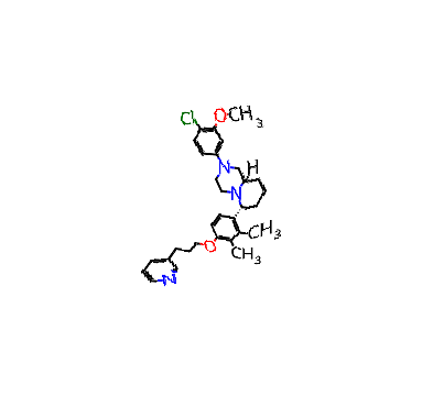 COc1cc(N2CCN3[C@@H](CCC[C@@H]3c3ccc(OCCCc4cccnc4)c(C)c3C)C2)ccc1Cl